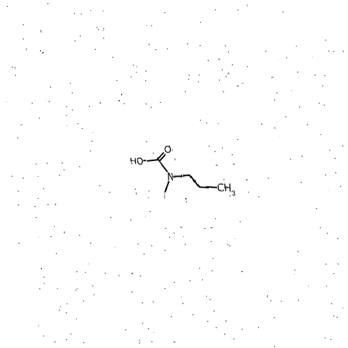 CCCN(I)C(=O)O